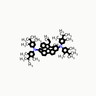 C=CC1=C(/C=C\C)c2ccccc2C12c1c(ccc3cc(N(c4cc(C)c(C(C)C)c(C)c4)c4cc(C)c(C(C)C)c(C)c4)ccc13)-c1ccc3cc(N(c4cc(C)c(C(C)C)c(C)c4)c4cc(C)c(C(C)C)c(C)c4)ccc3c12